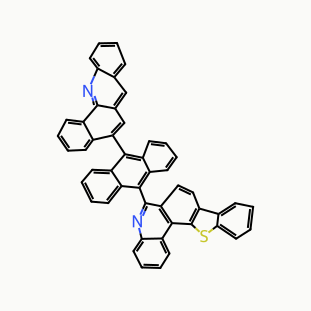 c1ccc2nc3c(cc(-c4c5ccccc5c(-c5nc6ccccc6c6c5ccc5c7ccccc7sc56)c5ccccc45)c4ccccc43)cc2c1